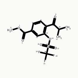 COC(=O)c1ccc(C(=O)C(C)C)c(OS(=O)(=O)C(F)(F)F)c1